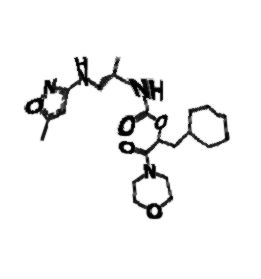 Cc1cc(NCC(C)NC(=O)OC(CC2CCCCC2)C(=O)N2CCOCC2)no1